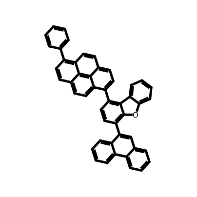 c1ccc(-c2ccc3ccc4c(-c5ccc(-c6cc7ccccc7c7ccccc67)c6oc7ccccc7c56)ccc5ccc2c3c54)cc1